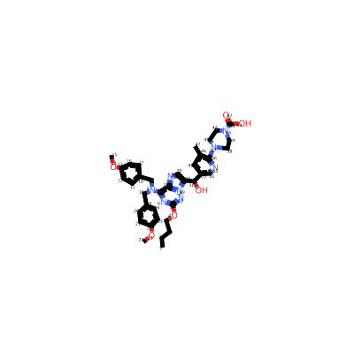 CCCCOc1nc(N(Cc2ccc(OC)cc2)Cc2ccc(OC)cc2)c2ncc(C(O)c3cnc(N4CCN(C(=O)O)CC4)c(C)c3)n2n1